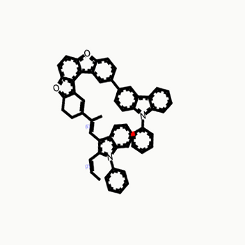 C/C=C\c1c(/C=C(\C)C2=Cc3c(oc4ccc5oc6ccc(-c7ccc8c(c7)c7ccccc7n8-c7ccccc7)cc6c5c34)CC2)c2ccccc2n1-c1ccccc1